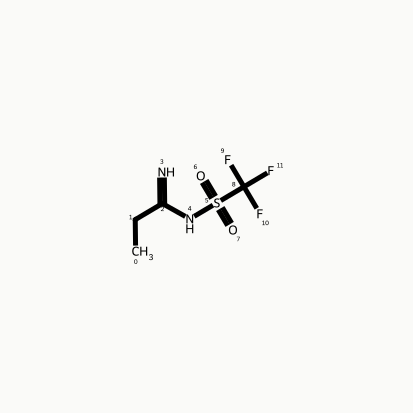 CCC(=N)NS(=O)(=O)C(F)(F)F